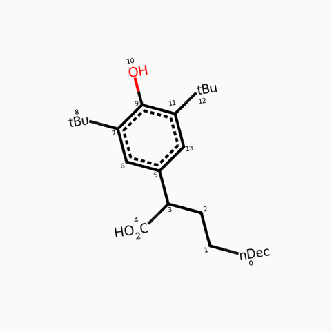 CCCCCCCCCCCCC(C(=O)O)c1cc(C(C)(C)C)c(O)c(C(C)(C)C)c1